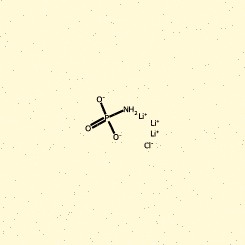 NP(=O)([O-])[O-].[Cl-].[Li+].[Li+].[Li+]